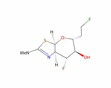 CNC1=N[C@@H]2[C@@H](F)[C@H](O)[C@@H](CCF)O[C@@H]2S1